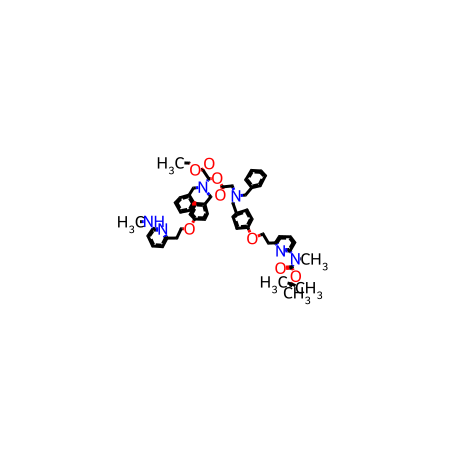 CCOC(=O)C(OC(=O)CN(Cc1ccccc1)Cc1ccc(OCCc2cccc(N(C)C(=O)OC(C)(C)C)n2)cc1)N(Cc1ccccc1)Cc1ccc(OCCc2cccc(NC)n2)cc1